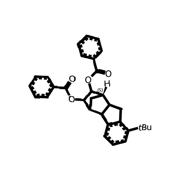 CC(C)(C)c1cccc2c1CC1C2C2C[C@@H]1C(OC(=O)c1ccccc1)C2OC(=O)c1ccccc1